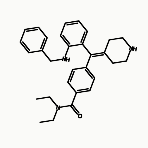 CCN(CC)C(=O)c1ccc(C(=C2CCNCC2)c2ccccc2NCc2ccccc2)cc1